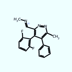 C/N=C/c1nnc(C)c(-c2ccccc2)c1-c1c(F)cccc1F